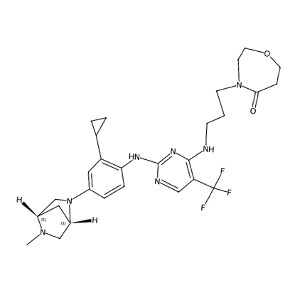 CN1C[C@@H]2C[C@H]1CN2c1ccc(Nc2ncc(C(F)(F)F)c(NCCCN3CCOCCC3=O)n2)c(C2CC2)c1